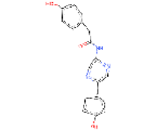 O=C(Cc1ccc(O)cc1)Nc1cnc(-c2ccc(O)cc2)cn1